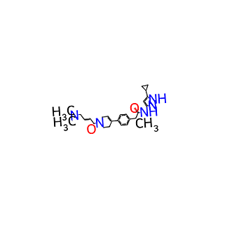 CC(C(=O)Nc1cc(C2CC2)[nH]n1)c1ccc(C2=CCN(C(=O)C=CCN(C)C)CC2)cc1